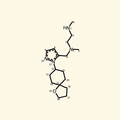 CNCCN(C)Cc1ccnn1C1CCC2(CCCO2)CC1